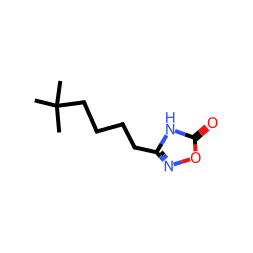 CC(C)(C)CCCCc1noc(=O)[nH]1